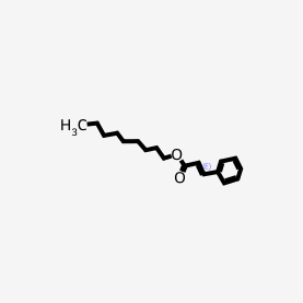 CCCCCCCCCOC(=O)/C=C/c1ccccc1